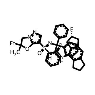 CCC1(C)Cn2ncc(S(=O)(=NC(c3ccccc3)(c3ccccc3)c3ccccc3)NC(=O)Nc3c4c(cc5c3C[C@H](F)C5)CCC4)c2O1